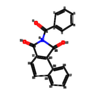 O=C(c1ccccc1)N1C(=O)c2ccc3ccccc3c2C1=O